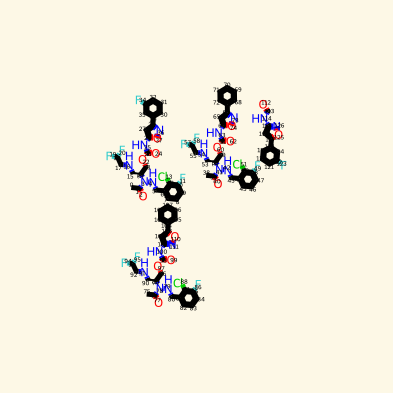 CC(=O)N(NCc1cccc(F)c1Cl)[C@@H](CNCC(F)F)COC(=O)Nc1cc(-c2cccc(F)c2)no1.CC(=O)N(NCc1cccc(F)c1Cl)[C@@H](CNCC(F)F)COC(=O)Nc1cc(-c2ccccc2)no1.CC(=O)N(NCc1cccc(F)c1Cl)[C@@H](CNCC(F)F)COC(=O)Nc1cc(-c2ccccc2)on1.O=CNc1cc(-c2cccc(F)c2)on1